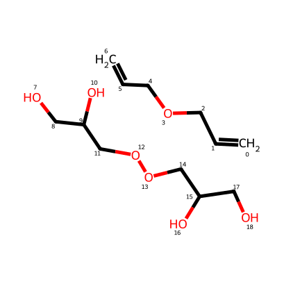 C=CCOCC=C.OCC(O)COOCC(O)CO